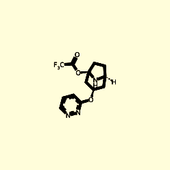 O=C(O[C@]12CC[C@@H](C[C@@H](Oc3cccnn3)C1)N2)C(F)(F)F